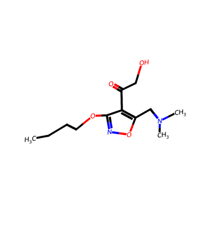 CCCCOc1noc(CN(C)C)c1C(=O)CO